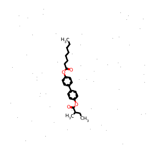 CCCCCCCC(=O)Oc1ccc(-c2ccc(OC(=O)C(C)CC)cc2)cc1